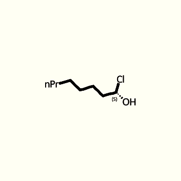 CCCCCCC[C@@H](O)Cl